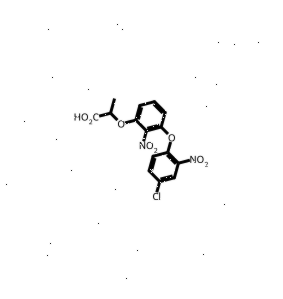 CC(Oc1cccc(Oc2ccc(Cl)cc2[N+](=O)[O-])c1[N+](=O)[O-])C(=O)O